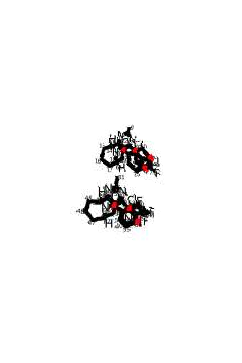 Cc1nc(-c2ccc(F)cc2)c2c(n1)[C@H]1CCC[C@@H](C2)N1C(=O)c1cccc(Cl)c1Cl.Cc1nc(-c2ccnn2C)c2c(n1)[C@H]1CCC[C@@H](C2)N1C(=O)c1cccc(C(F)(F)F)c1Cl